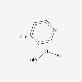 CCCOBr.[Cu].c1ccncc1